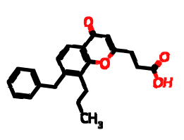 CCCc1c(Cc2ccccc2)ccc2c(=O)cc(CCC(=O)O)oc12